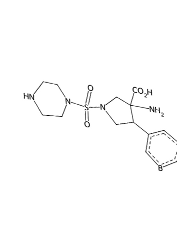 NC1(C(=O)O)CN(S(=O)(=O)N2CCNCC2)CC1c1cbccc1